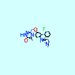 C[C@H]1C(=O)NN=C2COc3cc(-c4ccccc4F)c(N(C)[C@@]4(C)CCN(C)C4)cc3N21